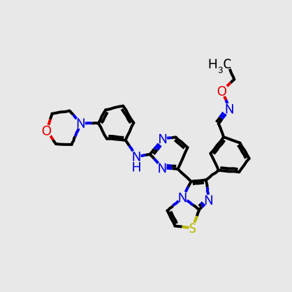 CCO/N=C/c1cccc(-c2nc3sccn3c2-c2ccnc(Nc3cccc(N4CCOCC4)c3)n2)c1